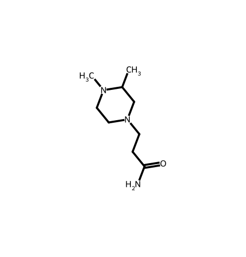 CC1CN(CCC(N)=O)CCN1C